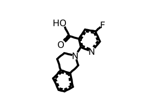 O=C(O)c1cc(F)cnc1N1CCc2ccccc2C1